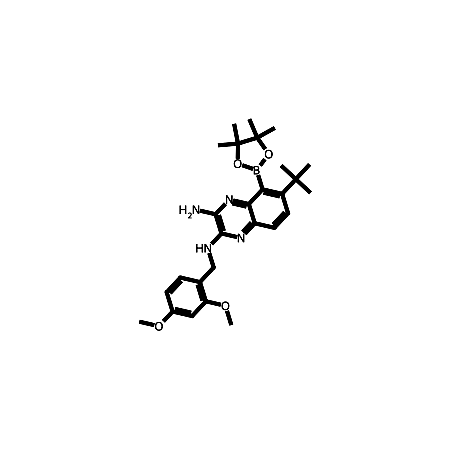 COc1ccc(CNc2nc3ccc(C(C)(C)C)c(B4OC(C)(C)C(C)(C)O4)c3nc2N)c(OC)c1